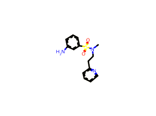 CN(CCc1ccccn1)S(=O)(=O)c1cccc(N)c1